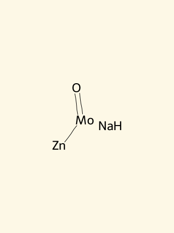 [NaH].[O]=[Mo][Zn]